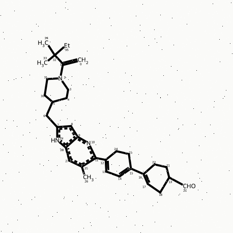 C=C(N1CCC(Cc2cc3nc(C4=CC=C(C5=CCC(C=O)CC5)CC4)c(C)cc3[nH]2)CC1)C(C)(C)CC